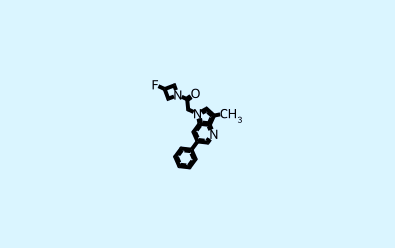 Cc1cn(CC(=O)N2CC(F)C2)c2cc(-c3ccccc3)cnc12